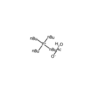 CC(=O)[O-].CCCC[P+](CCCC)(CCCC)CCCC.O